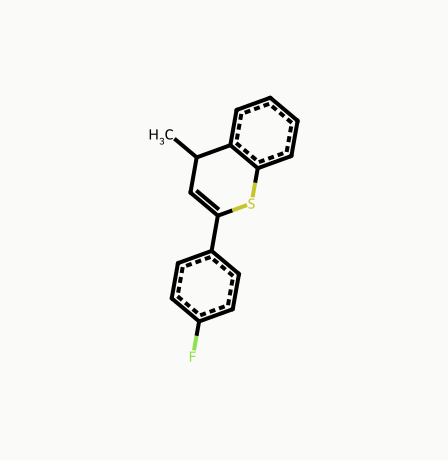 CC1C=C(c2ccc(F)cc2)Sc2ccccc21